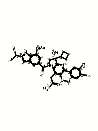 CCOc1c(CC(N)=O)cc([C@@](O)(CNC(=O)c2cc(OC)c3nn(C(F)F)cc3c2)C2CCC2)nc1-c1ccc(F)c(Cl)c1